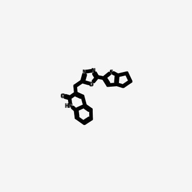 O=c1[nH]c2ccccc2cc1Cc1nnc(-c2cc3c(s2)CCC3)o1